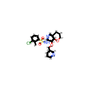 Cc1c(Cl)cccc1S(=O)(=O)Nc1ncc2c(c1OCc1cccnc1)OCCC2